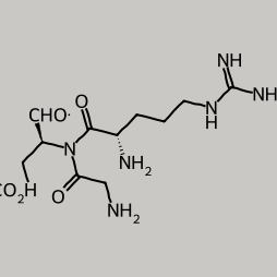 N=C(N)NCCC[C@H](N)C(=O)N(C(=O)CN)[C@H]([C]=O)CC(=O)O